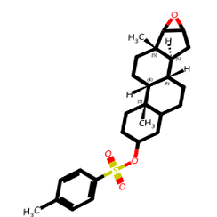 Cc1ccc(S(=O)(=O)OC2CC[C@@]3(C)C(CC[C@@H]4[C@H]3CC[C@]3(C)C5OC5C[C@@H]43)C2)cc1